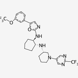 FC(F)(F)Oc1cccc(-c2cnc(N[C@@H]3CCCC[C@H]3N[C@H]3CCCN(c4cnc(C(F)(F)F)nc4)C3)o2)c1